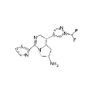 NC1CC2=C(c3cnn(C(F)F)c3)CN=C(c3nccs3)N2C1